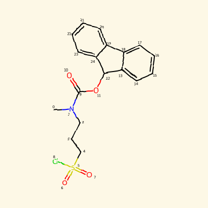 CN(CCCS(=O)(=O)Cl)C(=O)OC1c2ccccc2-c2ccccc21